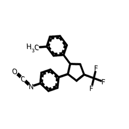 Cc1cccc(C2CC(C(F)(F)F)CC2c2ccc(N=C=O)cc2)c1